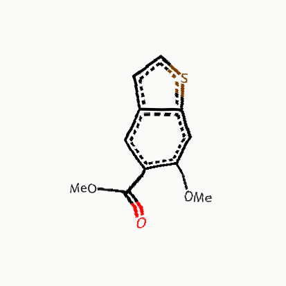 COC(=O)c1cc2ccsc2cc1OC